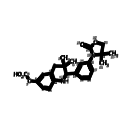 CC1(C)Cc2cc(OC(=O)O)ccc2NC1c1cccc(N2C(=O)OCC2(C)C)c1